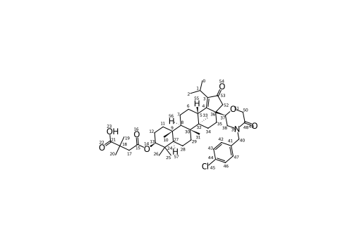 CC(C)C1=C2[C@H]3CC[C@@H]4[C@@]5(C)CC[C@H](OC(=O)CC(C)(C)C(=O)O)C(C)(C)[C@@H]5CC[C@@]4(C)[C@]3(C)CCC2([C@@H]2CN(Cc3ccc(Cl)cc3)C(=O)CO2)CC1=O